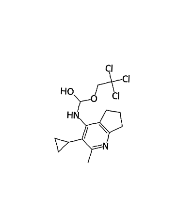 Cc1nc2c(c(NC(O)OCC(Cl)(Cl)Cl)c1C1CC1)CCC2